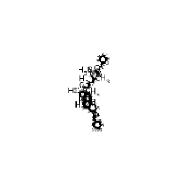 C[C@H](CCC[C@@H](C)[C@H]1[C@@H](O)C[C@H]2[C@@H]3CC=C4C[C@@H](OCc5ccccc5)CC[C@]4(C)[C@H]3CC[C@]12C)CN(C)C(=O)OCc1ccccc1